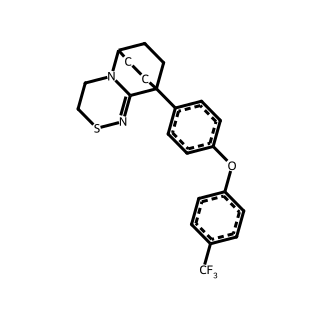 FC(F)(F)c1ccc(Oc2ccc(C34CCC(CC3)N3CCSN=C34)cc2)cc1